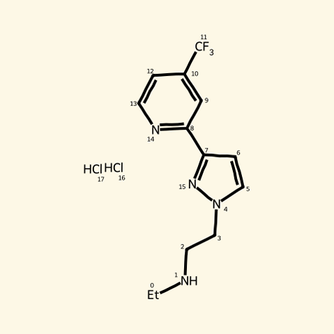 CCNCCn1ccc(-c2cc(C(F)(F)F)ccn2)n1.Cl.Cl